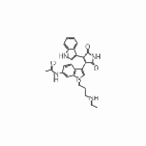 CCNCCCn1cc(C2=C(c3c[nH]c4ccccc34)C(=O)NC2=O)c2ccc(NC(C)=O)cc21